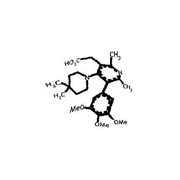 COc1cc(-c2c(C)nc(C)c(CC(=O)O)c2N2CCC(C)(C)CC2)cc(OC)c1OC